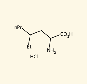 CCCC(CC)CC(N)C(=O)O.Cl